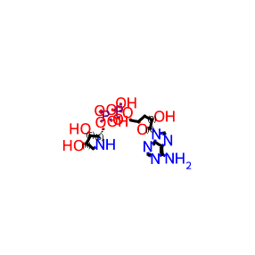 Nc1ncnc2c1ncn2[C@@H]1OC(COP(=O)(O)OP(=O)(O)OC[C@@H]2NC[C@@H](O)[C@H]2O)C[C@H]1O